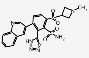 CN1CC(S(=O)(=O)c2ccc(-c3cnc4ccccc4c3)c(-c3nnn[nH]3)c2S(N)(=O)=O)C1